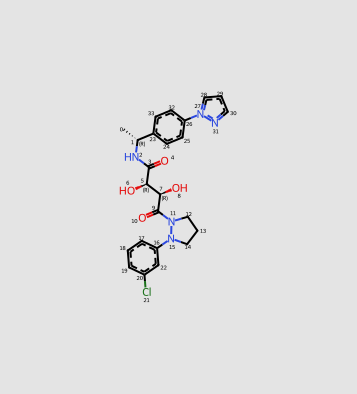 C[C@@H](NC(=O)[C@H](O)[C@@H](O)C(=O)N1CCCN1c1cccc(Cl)c1)c1ccc(-n2cccn2)cc1